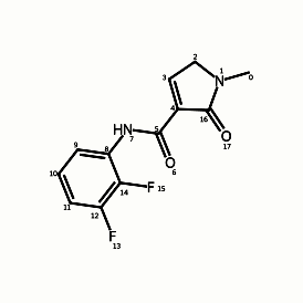 CN1CC=C(C(=O)Nc2cccc(F)c2F)C1=O